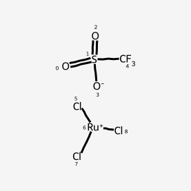 O=S(=O)([O-])C(F)(F)F.[Cl][Ru+]([Cl])[Cl]